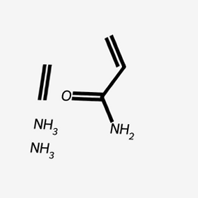 C=C.C=CC(N)=O.N.N